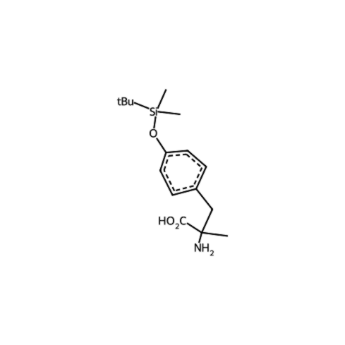 CC(N)(Cc1ccc(O[Si](C)(C)C(C)(C)C)cc1)C(=O)O